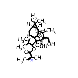 C/C=C(/C)C(=O)OC1C(C)C[C@@]23C(O)[C@H]([C@H]4[C@@H](C[C@H]2C)C4(C)C)[C@@H](C)C(CO)[C@@H](O)[C@]13O